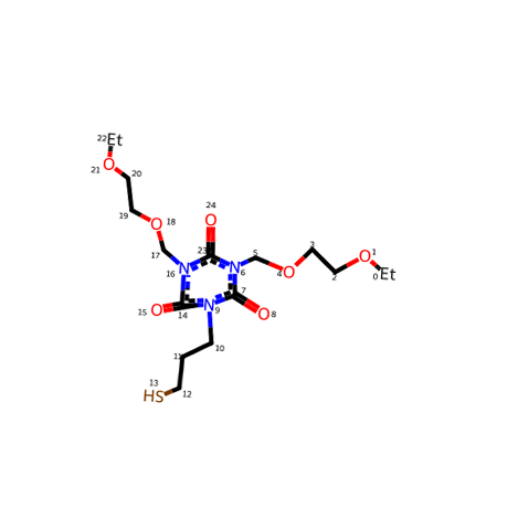 CCOCCOCn1c(=O)n(CCCS)c(=O)n(COCCOCC)c1=O